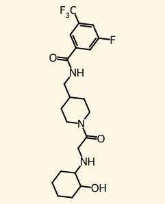 O=C(NCC1CCN(C(=O)CNC2CCCCC2O)CC1)c1cc(F)cc(C(F)(F)F)c1